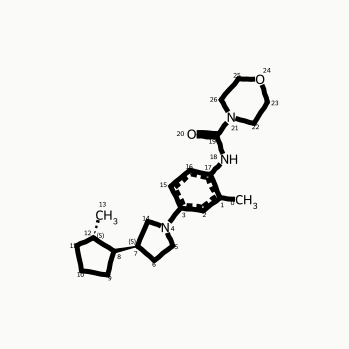 Cc1cc(N2CC[C@@H](C3CCC[C@@H]3C)C2)ccc1NC(=O)N1CCOCC1